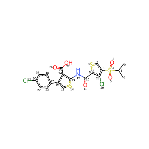 CC(C)S(=O)(=O)c1csc(C(=O)Nc2scc(-c3ccc(Cl)cc3)c2C(=O)O)c1Cl